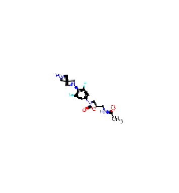 CC(=O)NCC1CN(c2cc(F)c(N3CC4(CNC4)C3)c(F)c2)C(=O)O1